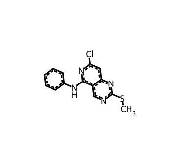 CSc1ncc2c(Nc3ccccc3)nc(Cl)cc2n1